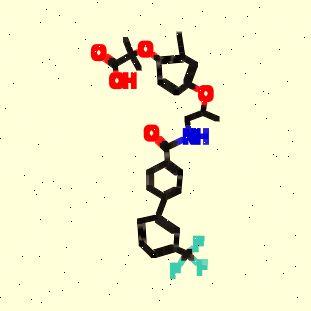 Cc1cc(OC(C)CNC(=O)c2ccc(-c3cccc(C(F)(F)F)c3)cc2)ccc1OC(C)(C)C(=O)O